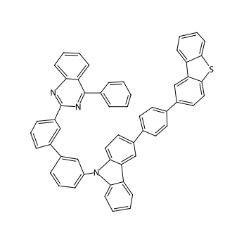 c1ccc(-c2nc(-c3cccc(-c4cccc(-n5c6ccccc6c6cc(-c7ccc(-c8ccc9sc%10ccccc%10c9c8)cc7)ccc65)c4)c3)nc3ccccc23)cc1